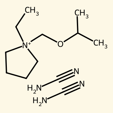 CC[N+]1(COC(C)C)CCCC1.N#CN.N#CN